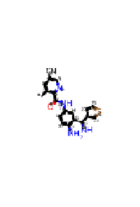 Cc1cc(C#N)cnc1C(=O)Nc1ccc(N)c(C(=N)c2ccsc2)c1